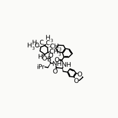 CC(C)C[C@H](NC(=O)[C@H](Cc1ccc2c(c1)OCCO2)NC(=O)c1cccc2c1CCCC2)B1O[C@@H]2C[C@H](C)C(C)(C)[C@H](C)[C@]2(C)O1